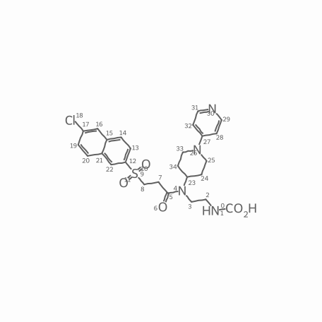 O=C(O)NCCN(C(=O)CCS(=O)(=O)c1ccc2cc(Cl)ccc2c1)C1CCN(c2ccncc2)CC1